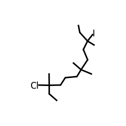 CCC(C)(Cl)CCCC(C)(C)CCC(C)(I)CC